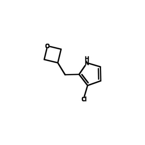 Clc1cc[nH]c1CC1COC1